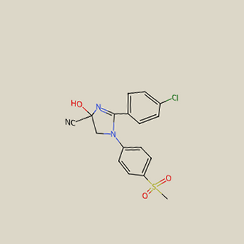 CS(=O)(=O)c1ccc(N2CC(O)(C#N)N=C2c2ccc(Cl)cc2)cc1